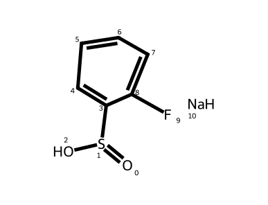 O=S(O)c1ccccc1F.[NaH]